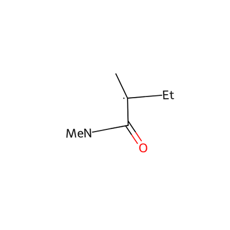 CC[C](C)C(=O)NC